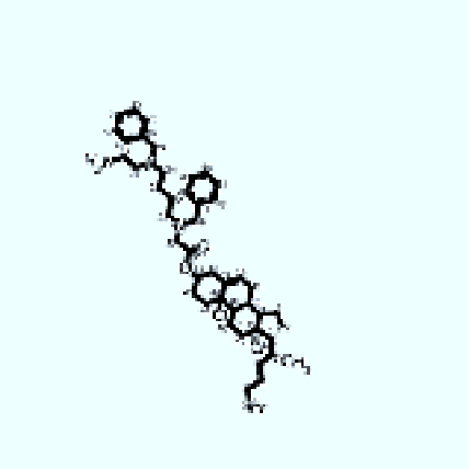 CC(C)CCC[C@@H](C)[C@H]1CCC2C3CC=C4CC(OC(=O)CN(CCCCN(CCN)Cc5ccccc5)Cc5ccccc5)CC[C@]4(C)C3CC[C@@]21C